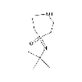 CC(C)(C)N=S1(=O)CCNCC1